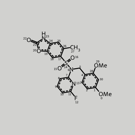 COc1ccc(CN(c2cccc(F)n2)S(=O)(=O)c2cc3oc(=O)[nH]c3cc2C)c(OC)c1